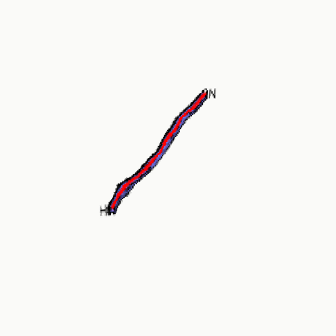 N#C/N=N/N=N/N=N/N=N/N=N/N=N/N=N/N=N/N=N/N=N/N=N/N=N/N=N/N=N/N=N/N=N/N=N/N=N/N=N/N=N/N=N/N=N/N=N/N=N/N=N/N=N/N=N/N=N/N=N/N=N/N=N/N=N/N=N/N=N/N=N/N=N/N=N/N=N/N=N/N=N/N=N/N=N/N=N/N=N/N=N/N=N/N=N/N=N/N=N/N=N/N=N/N=N/N=N/N=N/N=N/N=N/N=N/N=N/N=N/N=N/N=N/N=N/N=N/N=N/N=N